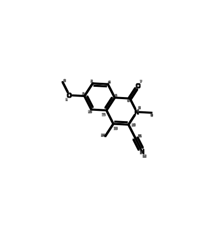 COc1ccc2c(=O)n(C)c(C#N)c(C)c2c1